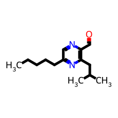 CCCCCc1cnc(C=O)c(CC(C)C)n1